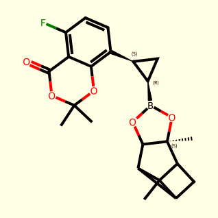 CC1(C)OC(=O)c2c(F)ccc([C@H]3C[C@H]3B3OC4C5C6CC(C65C)[C@]4(C)O3)c2O1